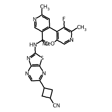 COc1cnc(C)c(F)c1-c1cc(C)ncc1C(=O)Nc1nc2ncc(C3CC(C#N)C3)nc2s1